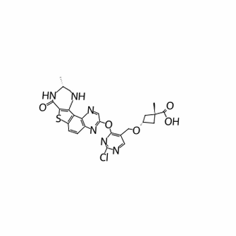 C[C@@H]1CNc2c(sc3ccc4nc(Oc5nc(Cl)ncc5CO[C@H]5C[C@@](C)(C(=O)O)C5)cnc4c23)C(=O)N1